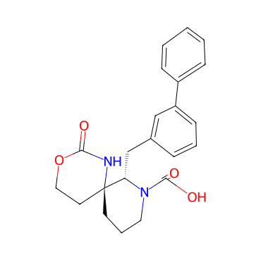 O=C1N[C@@]2(CCCN(C(=O)O)[C@H]2Cc2cccc(-c3ccccc3)c2)CCO1